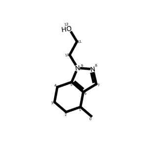 CC1CCCc2c1cnn2CCO